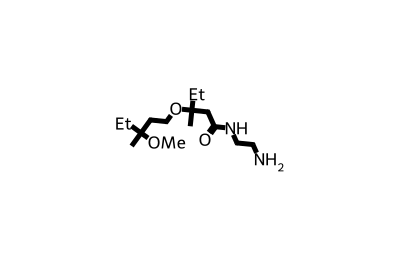 CCC(C)(CCOC(C)(CC)CC(=O)NCCN)OC